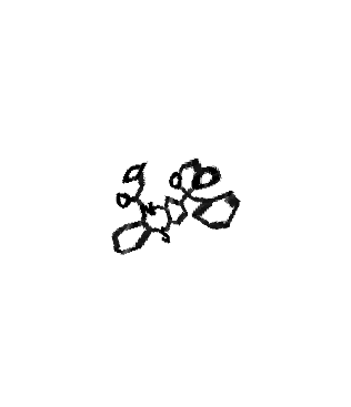 O=C(CCl)N1c2ccccc2Sc2ccc(C3(c4ccccc4)OCCO3)cc21